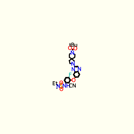 CCN(C)S(=O)(=O)Nc1ccc(F)c(Oc2ccc3ncc(N4CCC5(CCN(C(=O)OC(C)(C)C)CC5)C4)nc3c2)c1C#N